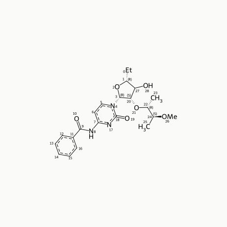 CC[C@H]1O[C@@H](n2ccc(NC(=O)c3ccccc3)nc2=O)[C@@H](O[C@H](C)[C@H](C)OC)C1O